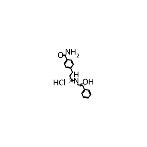 C[C@H](CCc1ccc(C(N)=O)cc1)NC[C@H](O)c1ccccc1.Cl